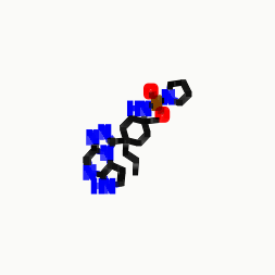 CCCC1(c2nnc3n2C2C=CNC2N=C3)CCC(C)(NS(=O)(=O)N2CCCC2)CC1